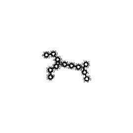 c1ccc(-c2ccc(N(c3ccccc3)c3ccc(-c4ccc(-c5ccc(-n6c7ccc(-c8cccc(-c9ccccc9)c8)cc7c7cc(-c8cccc(-c9ccccc9)c8)ccc76)cc5)cc4)cc3)cc2)cc1